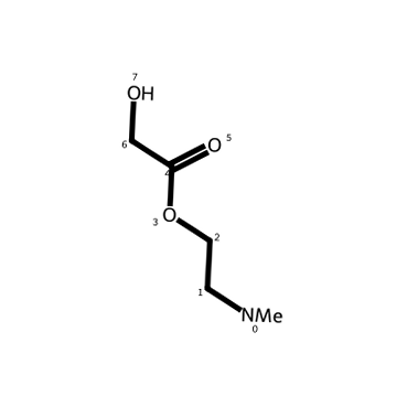 CNCCOC(=O)CO